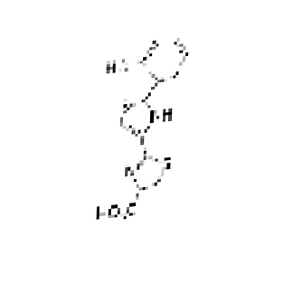 O=C(O)C1CSC(C2=CSC(c3ccccc3O)N2)=N1